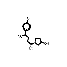 CC[C@H](CCC(C#N)c1ccc(Br)cn1)N1CCC(O)C1